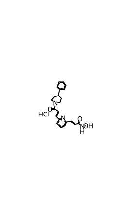 Cl.O=C(C=Cc1cccc(C=CC(=O)N2CCC(c3ccccc3)CC2)n1)NO